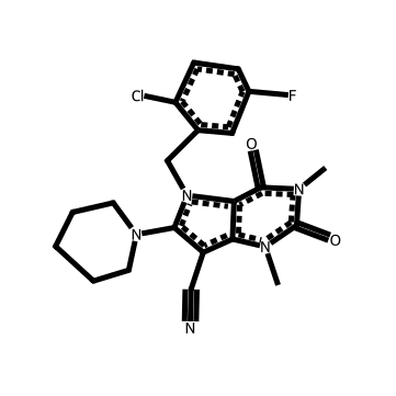 Cn1c(=O)c2c(c(C#N)c(N3CCCCC3)n2Cc2cc(F)ccc2Cl)n(C)c1=O